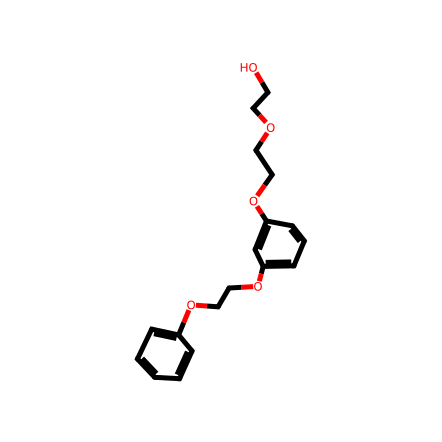 OCCOCCOc1cccc(OCCOc2ccccc2)c1